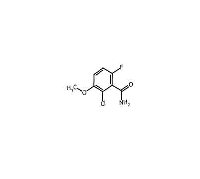 COc1ccc(F)c(C(N)=O)c1Cl